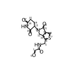 O=CC(=O)NCc1scc2c1CN(C1CCC(=O)NC1=O)C2=O